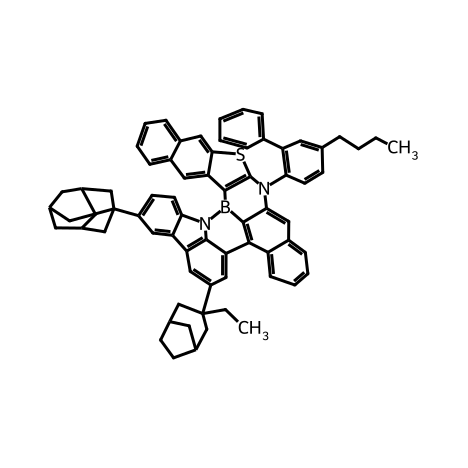 CCCCc1ccc(N2c3cc4ccccc4c4c3B(c3c2sc2cc5ccccc5cc32)n2c3ccc(C56CC7CC(CC(C7)C5)C6)cc3c3cc(C5(CC)CC6CCC(C6)C5)cc-4c32)c(-c2ccccc2)c1